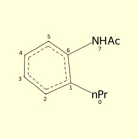 [CH2]CCc1ccccc1NC(C)=O